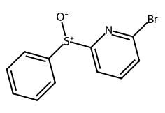 [O-][S+](c1ccccc1)c1cccc(Br)n1